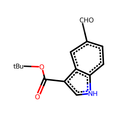 CC(C)(C)OC(=O)c1c[nH]c2ccc(C=O)cc12